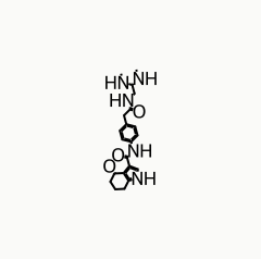 CNC(CNC(=O)Cc1ccc(NC(=O)c2c[nH]c3c2C(=O)CCC3)cc1)NC